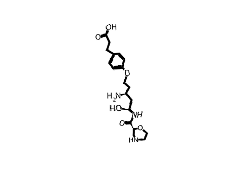 N[C@@H](CCOc1ccc(CCC(=O)O)cc1)C[C@H](O)NC(=O)[C@@H]1CNCCO1